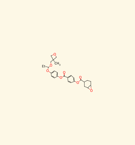 CCC(OCC1(C)COC1)Oc1ccc(OC(=O)c2ccc(OC(=O)C3CCC4OC4C3)cc2)cc1